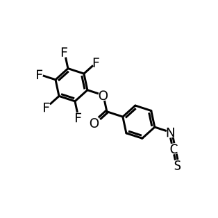 O=C(Oc1c(F)c(F)c(F)c(F)c1F)c1ccc(N=C=S)cc1